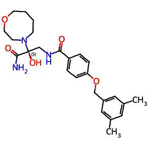 Cc1cc(C)cc(COc2ccc(C(=O)NC[C@](O)(C(N)=O)N3CCCCOCC3)cc2)c1